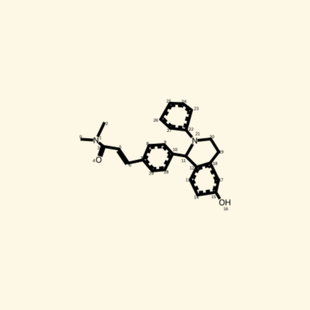 CN(C)C(=O)C=Cc1ccc(C2c3ccc(O)cc3CCN2c2ccccc2)cc1